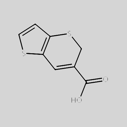 O=C(O)C1=Cc2sccc2SC1